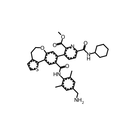 COC(=O)c1nc(C(=O)NC2CCCCC2)ccc1-c1cc2c(cc1C(=O)Nc1c(C)cc(CN)cc1C)-c1sccc1CCO2